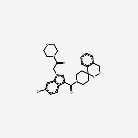 O=C(Cn1cc(C(=O)N2CCC3(CC2)OOCc2ccccc23)c2ccc(Cl)cc21)N1CCOCC1